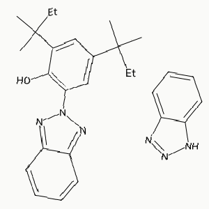 CCC(C)(C)c1cc(-n2nc3ccccc3n2)c(O)c(C(C)(C)CC)c1.c1ccc2[nH]nnc2c1